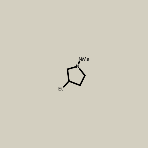 CCC1CCN(NC)C1